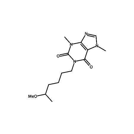 COC(C)CCCCn1c(=O)c2c(ncn2C)n(C)c1=O